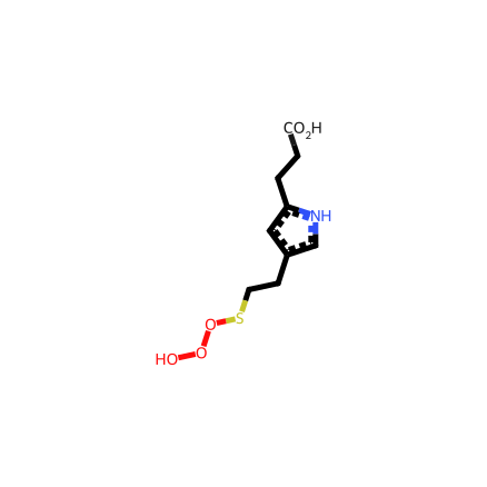 O=C(O)CCc1cc(CCSOOO)c[nH]1